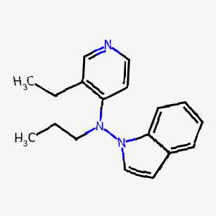 CCCN(c1ccncc1CC)n1ccc2ccccc21